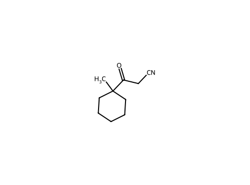 CC1(C(=O)CC#N)CCCCC1